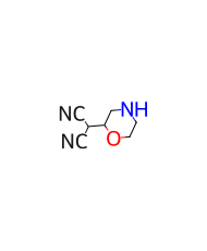 N#CC(C#N)C1CNCCO1